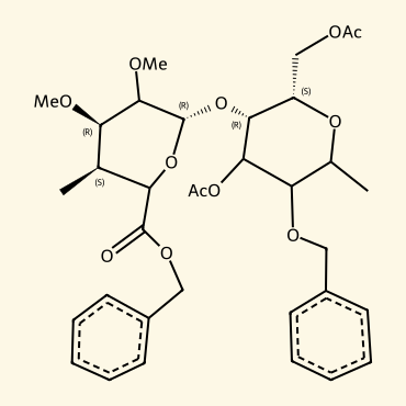 COC1[C@H](O[C@H]2C(OC(C)=O)C(OCc3ccccc3)C(C)O[C@H]2COC(C)=O)OC(C(=O)OCc2ccccc2)[C@@H](C)[C@H]1OC